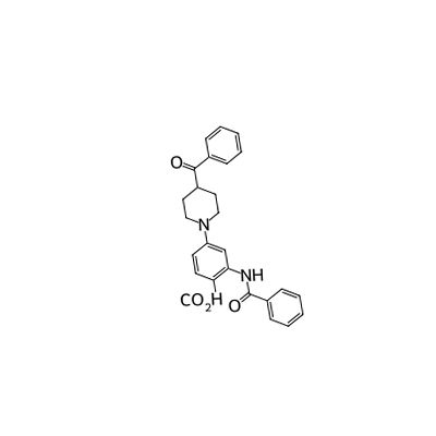 O=C(Nc1cc(N2CCC(C(=O)c3ccccc3)CC2)ccc1C(=O)O)c1ccccc1